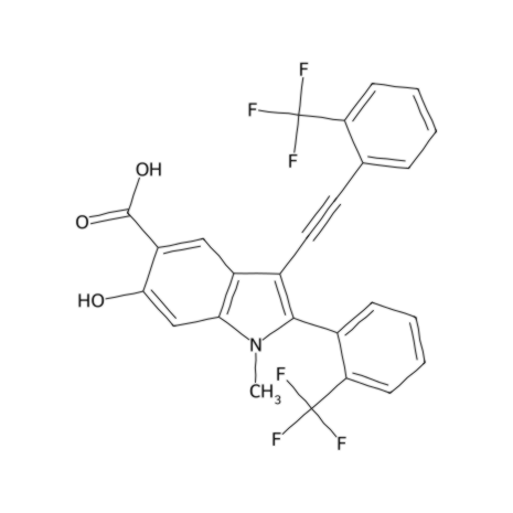 Cn1c(-c2ccccc2C(F)(F)F)c(C#Cc2ccccc2C(F)(F)F)c2cc(C(=O)O)c(O)cc21